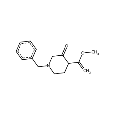 C=C(OC)C1CCN(Cc2ccccc2)CC1=O